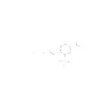 CCCC/C=C/c1ccc(C(=O)Cl)cc1S(C)(=O)=O